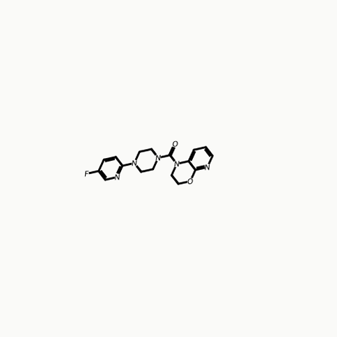 O=C(N1CCN(c2ccc(F)cn2)CC1)N1CCOc2ncccc21